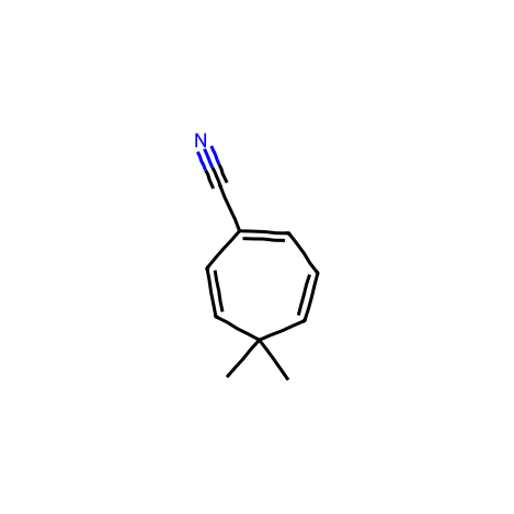 CC1(C)C=CC=C(C#N)C=C1